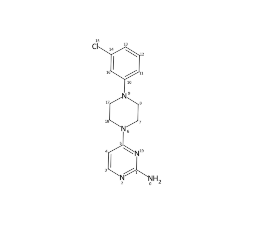 Nc1nccc(N2CCN(c3cccc(Cl)c3)CC2)n1